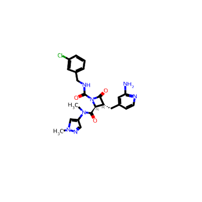 CN(C(=O)[C@@H]1[C@@H](Cc2ccnc(N)c2)C(=O)N1C(=O)NCc1cccc(Cl)c1)c1cnn(C)c1